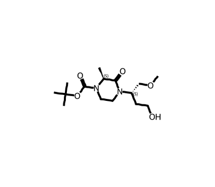 COC[C@H](CCO)N1CCN(C(=O)OC(C)(C)C)[C@@H](C)C1=O